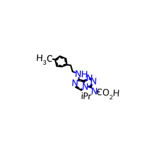 Cc1ccc(CCNc2nccn3c(N(C(=O)O)C(C)C)nnc23)cc1